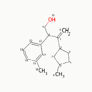 C=C(C1CCC(C)C1)C(CO)c1cccc(C)c1